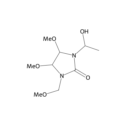 COCN1C(=O)N(C(C)O)C(OC)C1OC